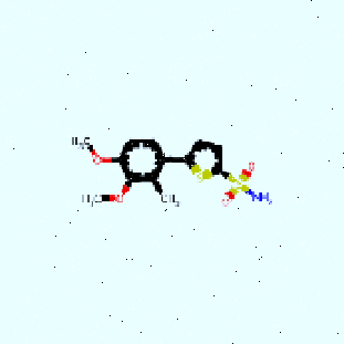 COc1ccc(-c2ccc(S(N)(=O)=O)s2)c(C)c1OC